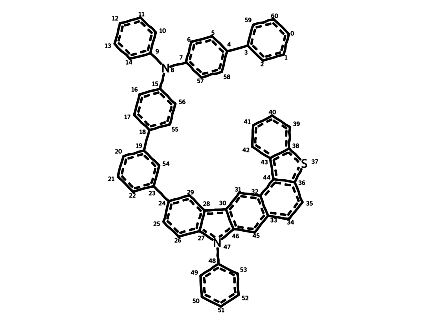 c1ccc(-c2ccc(N(c3ccccc3)c3ccc(-c4cccc(-c5ccc6c(c5)c5cc7c(ccc8sc9ccccc9c87)cc5n6-c5ccccc5)c4)cc3)cc2)cc1